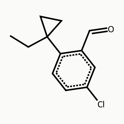 CCC1(c2ccc(Cl)cc2C=O)CC1